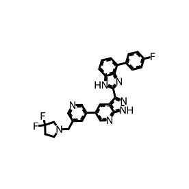 Fc1ccc(-c2cccc3[nH]c(-c4n[nH]c5ncc(-c6cncc(CN7CCC(F)(F)C7)c6)cc45)nc23)cc1